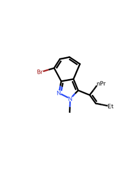 CC/C=C(\CCC)c1c2cccc(Br)c2nn1C